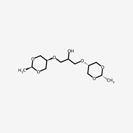 C[C@H]1OC[C@@H](OCC(O)CO[C@H]2CO[C@@H](C)OC2)CO1